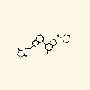 O=C([C@H]1Cc2cc(Cl)cc(-c3ccnc4cc(CCN5C(=O)CCC5=O)sc34)c2O1)N1CCNCC1